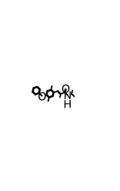 C/C(=C\c1cc(C)c(Oc2ccccc2)cc1C)C(=O)NC(C)C